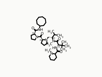 CC(C)[C@@H](CN1CCC[C@H]1C(=O)N1CCC[C@H]1C(=O)NC1CCCCCCC1)N(C)C(=O)[C@@H](NC(=O)C1CCCCN1C)C(C)(C)C